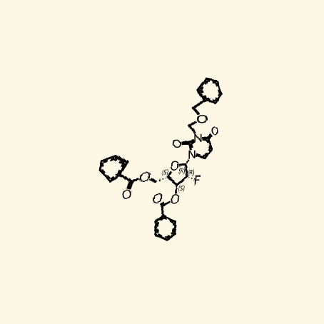 O=C(OC[C@@H]1O[C@@H](n2ccc(=O)n(COCc3ccccc3)c2=O)[C@H](F)[C@H]1OC(=O)c1ccccc1)c1ccccc1